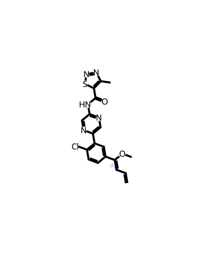 C=C/C=C(\OC)c1ccc(Cl)c(-c2cnc(NC(=O)c3snnc3C)cn2)c1